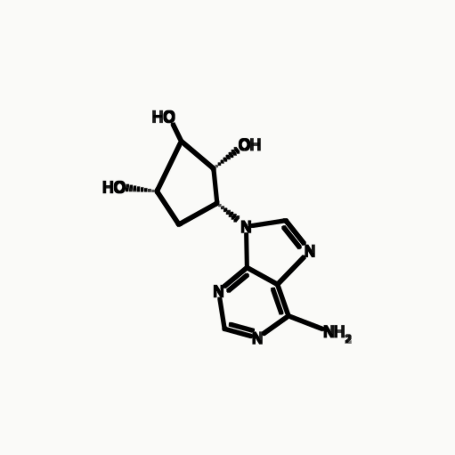 Nc1ncnc2c1ncn2[C@@H]1C[C@H](O)C(O)[C@@H]1O